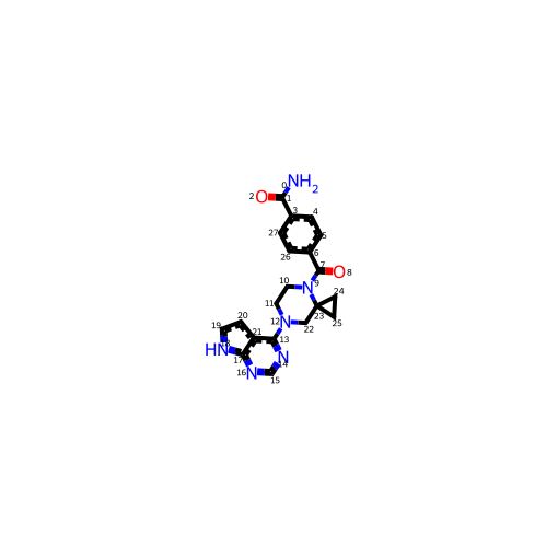 NC(=O)c1ccc(C(=O)N2CCN(c3ncnc4[nH]ccc34)CC23CC3)cc1